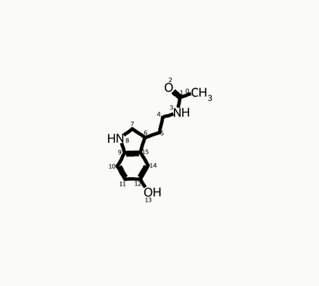 CC(=O)NCCC1CNc2ccc(O)cc21